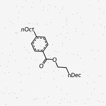 CCCCCCCCCCCCOC(=O)c1ccc(CCCCCCCC)cc1